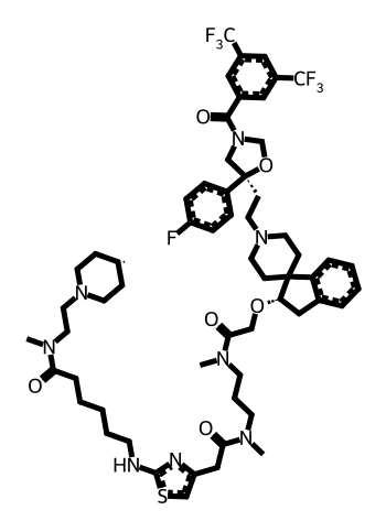 CN(CCN1CC[CH]CC1)C(=O)CCCCCNc1nc(CC(=O)N(C)CCCN(C)C(=O)CO[C@H]2Cc3ccccc3C23CCN(CC[C@]2(c4ccc(F)cc4)CN(C(=O)c4cc(C(F)(F)F)cc(C(F)(F)F)c4)CO2)CC3)cs1